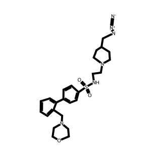 [N-]=[N+]=NCC1CCN(CCNS(=O)(=O)c2ccc(-c3ccccc3CN3CCOCC3)cc2)CC1